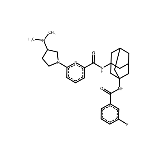 CN(C)C1CCN(c2cccc(C(=O)NC34CC5CC(CC(NC(=O)c6cccc(F)c6)(C5)C3)C4)n2)C1